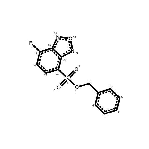 O=S(=O)(OCc1ccccc1)c1ccc(F)c2nonc12